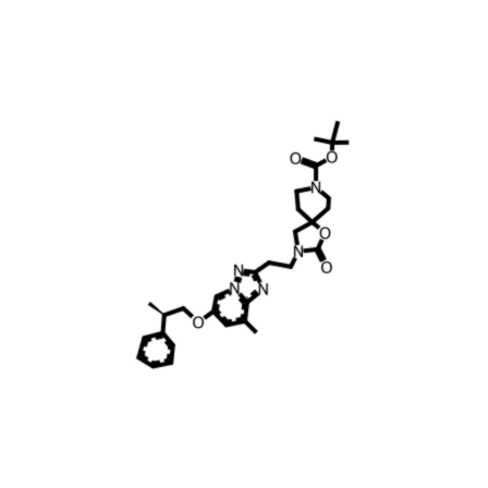 Cc1cc(OC[C@H](C)c2ccccc2)cn2nc(CCN3CC4(CCN(C(=O)OC(C)(C)C)CC4)OC3=O)nc12